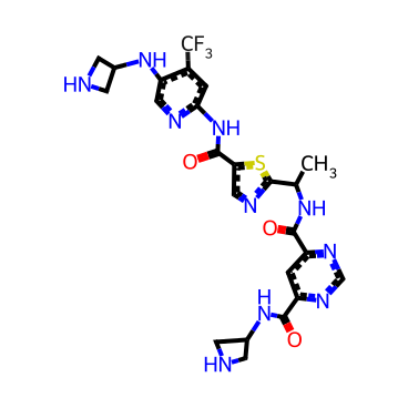 CC(NC(=O)c1cc(C(=O)NC2CNC2)ncn1)c1ncc(C(=O)Nc2cc(C(F)(F)F)c(NC3CNC3)cn2)s1